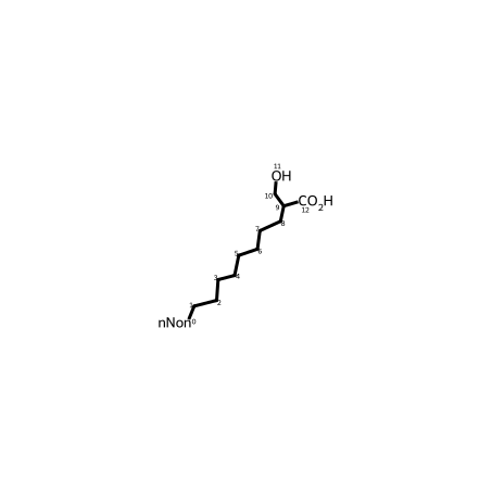 CCCCCCCCCCCCCCCCCC(CO)C(=O)O